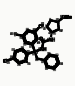 CO[C@@H]1CC[C@@H](NC(=O)N[C@@](Cc2ccccc2)(c2cc(F)cc(C(F)(F)F)c2)c2ccc(Cl)cn2)C1